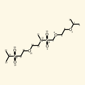 CC(C)OCCOCS(=O)(=O)N(C)CCOCCS(=O)(=O)C(C)C